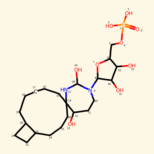 O=P(O)(O)OCC1OC(N2CCC(O)C3(CCCCCC4CCC4CCC3)NC2O)C(O)C1O